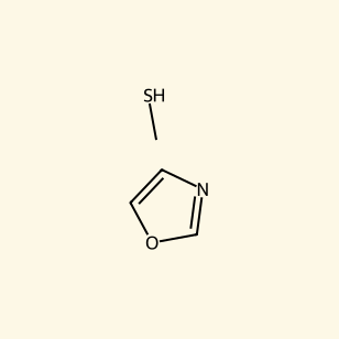 CS.c1cocn1